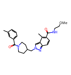 COCCNC(=O)c1ccc2nn(CC3CCN(C(=O)c4cccc(C)c4)CC3)cc2c1C